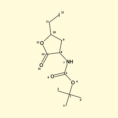 CC(C)(C)OC(=O)NC1CC(CI)OC1=O